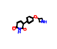 O=C1CCC(c2ccc(OC3CNC3)cc2)C(=O)N1